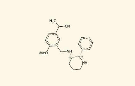 COc1ccc(C(C)C#N)cc1CN[C@H]1CCCN[C@H]1c1ccccc1